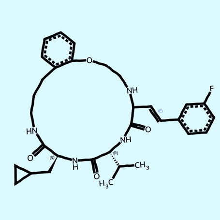 CC(C)[C@H]1NC(=O)C(/C=C/c2cccc(F)c2)NCCOc2ccccc2CCCNC(=O)[C@H](CC2CC2)NC1=O